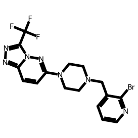 FC(F)(F)c1nnc2ccc(N3CCN(Cc4cccnc4Br)CC3)nn12